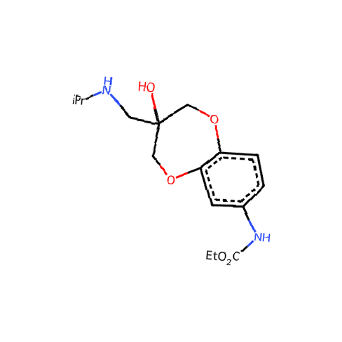 CCOC(=O)Nc1ccc2c(c1)OCC(O)(CNC(C)C)CO2